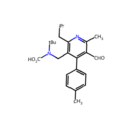 Cc1ccc(-c2c(C=O)c(C)nc(CC(C)C)c2CN(C(=O)O)C(C)(C)C)cc1